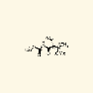 CON(C)[C@@H](CC(C)C)C(=O)NC(=O)OC(C)(C)C